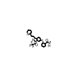 CNC(=O)c1ccccc1Sc1ccc2c(/C=C/c3ccccn3)nn(C(=O)C(F)(F)F)c2c1